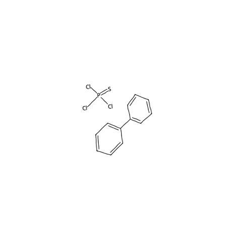 S=P(Cl)(Cl)Cl.c1ccc(-c2ccccc2)cc1